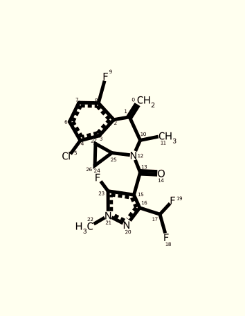 C=C(c1cc(Cl)ccc1F)C(C)N(C(=O)c1c(C(F)F)nn(C)c1F)C1CC1